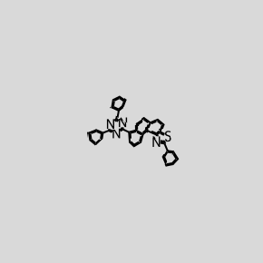 c1ccc(-c2nc(-c3ccccc3)nc(-c3cccc4c3ccc3ccc5sc(-c6ccccc6)nc5c34)n2)cc1